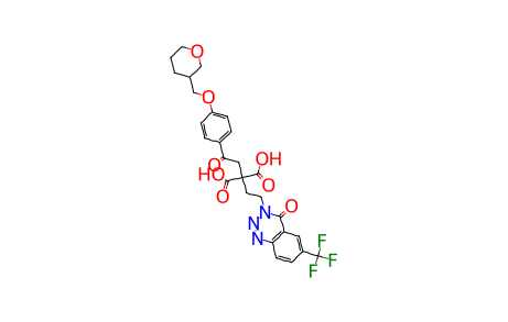 O=C(CC(CCn1nnc2ccc(C(F)(F)F)cc2c1=O)(C(=O)O)C(=O)O)c1ccc(OCC2CCCOC2)cc1